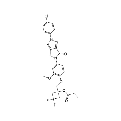 CCC(=O)OC1(COc2ccc(N3Cc4cn(-c5ccc(Cl)cc5)nc4C3=O)cc2OC)CC(F)(F)C1